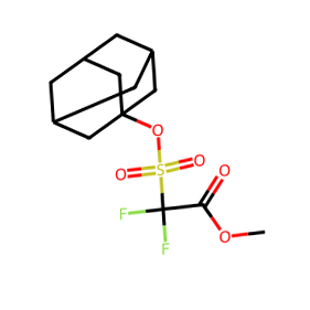 COC(=O)C(F)(F)S(=O)(=O)OC12CC3CC(CC(C3)C1)C2